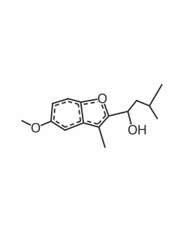 COc1ccc2oc(C(O)CC(C)C)c(C)c2c1